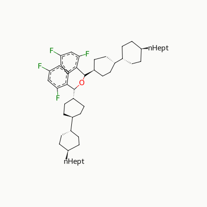 CCCCCCC[C@H]1CC[C@H]([C@H]2CC[C@H](C(OC(c3ccc(F)cc3F)[C@H]3CC[C@H]([C@H]4CC[C@H](CCCCCCC)CC4)CC3)c3ccc(F)cc3F)CC2)CC1